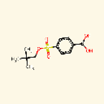 CC(C)(C)COS(=O)(=O)c1ccc(B(O)O)cc1